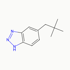 CC(C)(C)Cc1ccc2[nH]nnc2c1